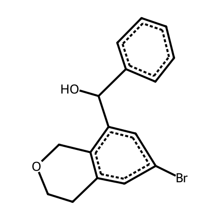 OC(c1ccccc1)c1cc(Br)cc2c1COCC2